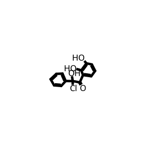 O=C(c1cccc(O)c1O)C(O)(Cl)c1ccccc1